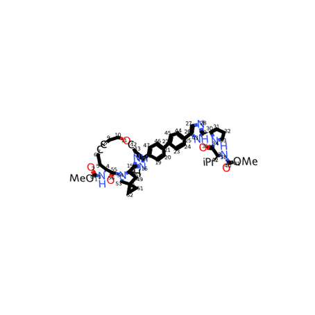 COC(=O)N[C@H]1CCCCCCOCc2[nH]c(nc2-c2ccc(-c3ccc(-c4cnc([C@@H]5CCCN5C(=O)[C@@H](NC(=O)OC)C(C)C)[nH]4)cc3)cc2)[C@@H]2CC3(CC3)CN2C1=O